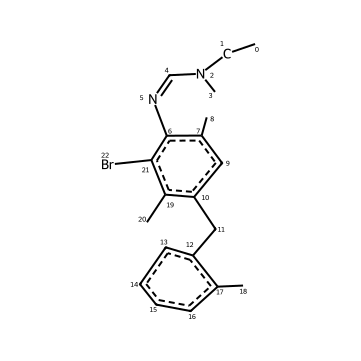 CCN(C)/C=N\c1c(C)cc(Cc2ccccc2C)c(C)c1Br